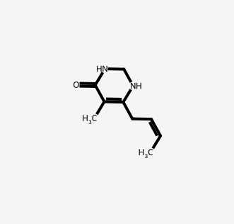 C/C=C\CC1=C(C)C(=O)NCN1